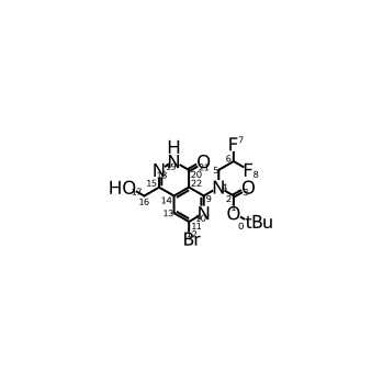 CC(C)(C)OC(=O)N(CC(F)F)c1nc(Br)cc2c(CO)n[nH]c(=O)c12